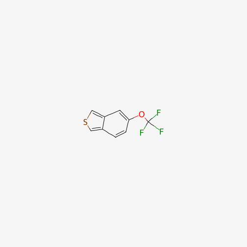 FC(F)(F)Oc1ccc2cscc2c1